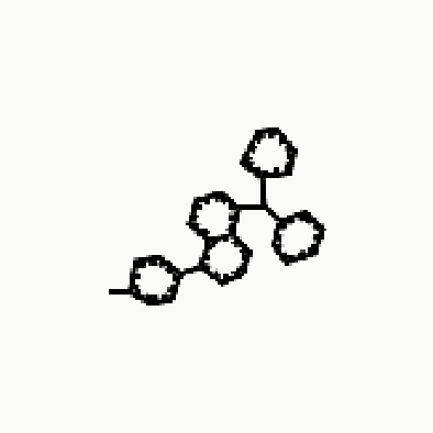 Cc1ccc(-c2cccc3c(C(c4ccccc4)c4ccccc4)cccc23)cc1